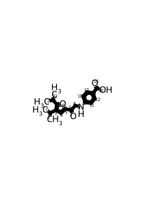 CC(C)c1cc(C(=O)CNc2ccc(C(=O)O)cc2)oc1C(C)C